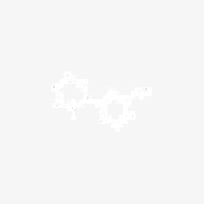 COc1cccc(C2C=CC=CN2)c1